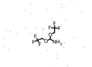 NC(OCC(F)(F)F)OCC(F)(F)F